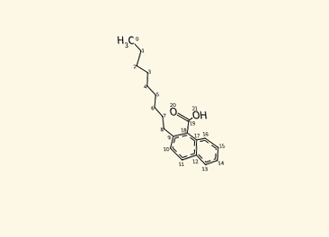 CCCCCCCCCc1ccc2ccccc2c1C(=O)O